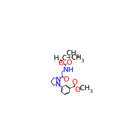 COC(=O)c1cccc(N2CCCN2C(=O)CNC(=O)OC(C)(C)C)c1